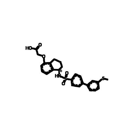 CSc1cccc(-c2ccc(S(=O)(=O)N[C@@H]3CCCc4c(OCC(=O)O)cccc43)cc2)c1